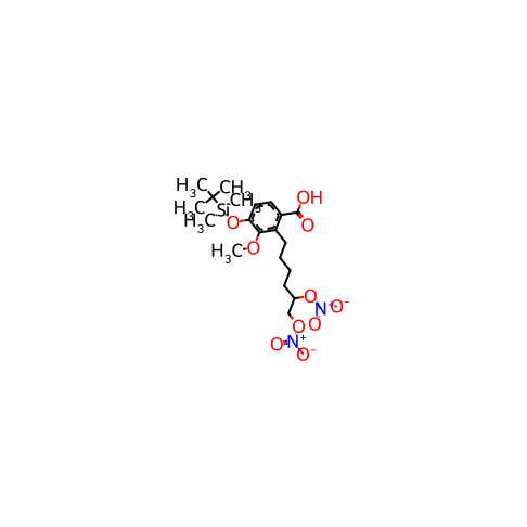 COc1c(O[Si](C)(C)C(C)(C)C)ccc(C(=O)O)c1CCCCC(CO[N+](=O)[O-])O[N+](=O)[O-]